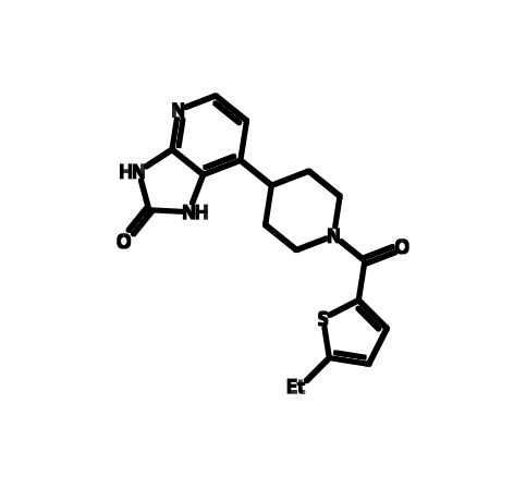 CCc1ccc(C(=O)N2CCC(c3ccnc4[nH]c(=O)[nH]c34)CC2)s1